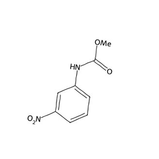 [CH2]OC(=O)Nc1cccc([N+](=O)[O-])c1